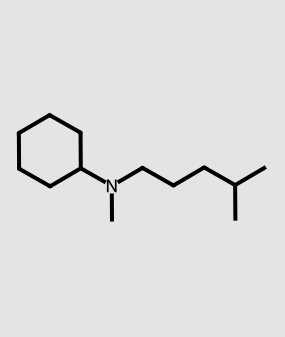 CC(C)CCCN(C)C1CCCCC1